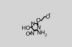 COCCOc1nc(N)c(N=O)c(O)n1